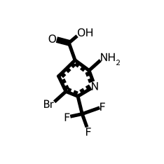 Nc1nc(C(F)(F)F)c(Br)cc1C(=O)O